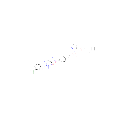 Cc1cc(-c2nc3cnc(Oc4cccc(Cl)c4)nc3o2)ccc1CCC(=O)N1CCC[C@@H]1OC(=O)O